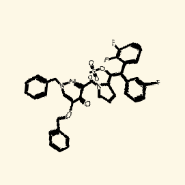 CS(=O)(=O)OC(C(c1cccc(F)c1)c1cccc(F)c1F)C1CCCN1C(=O)c1nn(Cc2ccccc2)cc(OCc2ccccc2)c1=O